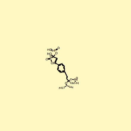 O=[PH](O)OC(O)(C=Cc1ccc(C=CC(O)(O[PH](=O)O)[PH](=O)O)cc1)OP(O)O